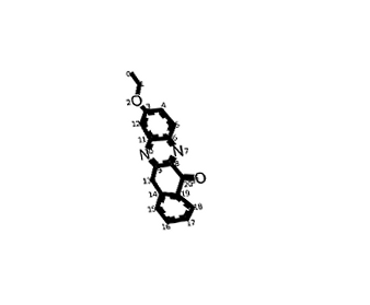 CCOc1ccc2nc3c(nc2c1)Cc1ccccc1C3=O